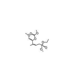 CCOP(=O)(CC=C(C)C(=COC)OC(=O)OC)OC